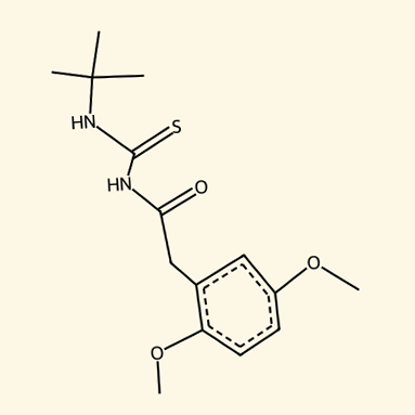 COc1ccc(OC)c(CC(=O)NC(=S)NC(C)(C)C)c1